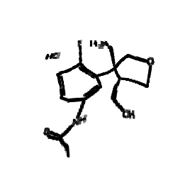 CC(=O)Nc1ccc(F)c([C@]2(N)COC[C@H]2CO)c1.Cl